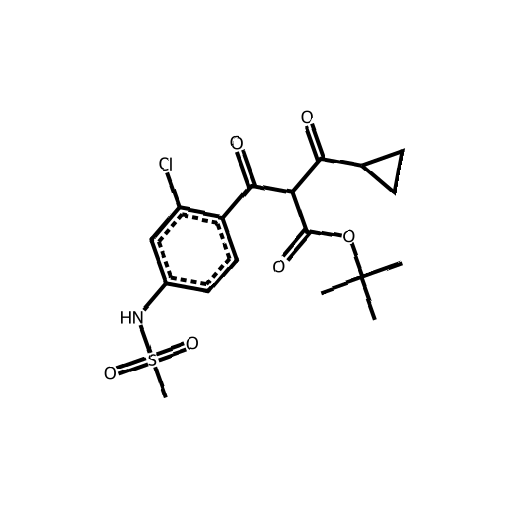 CC(C)(C)OC(=O)C(C(=O)c1ccc(NS(C)(=O)=O)cc1Cl)C(=O)C1CC1